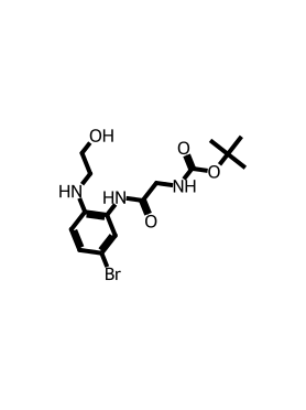 CC(C)(C)OC(=O)NCC(=O)Nc1cc(Br)ccc1NCCO